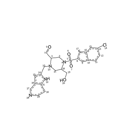 O=CC1CN(S(=O)(=O)c2cc3ccc(Cl)cc3s2)C(CO)CN1Cc1cc2cnccc2[nH]1